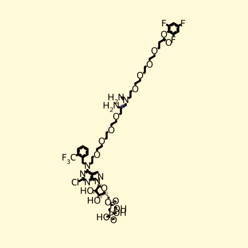 N/C(=C\N(N)CCOCCOCCOCCOCCC(=O)Oc1c(F)cc(F)cc1F)COCCOCCOCCOCCN(Cc1ccccc1C(F)(F)F)c1nc(Cl)nc2c1cnn2[C@@H]1O[C@H](COP(=O)(O)CP(=O)(O)O)[C@@H](O)[C@H]1O